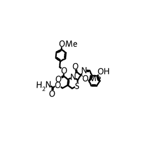 COc1ccc(COC(=O)C2=C(COC(N)=O)CSC3N2C(=O)[C@]3(/N=C\c2ccccc2O)OC)cc1